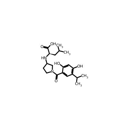 CC(C)C[C@@H](NC1CCN(C(=O)c2cc(C(C)C)c(O)cc2O)C1)C(=O)O